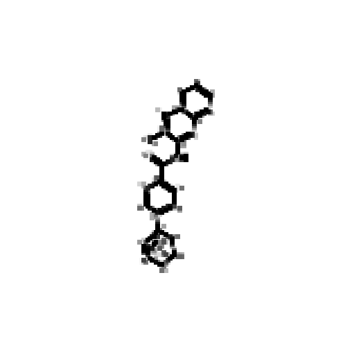 O=C(Nc1cc2ccccc2nc1Cl)c1ccc(C23CCC(CC2)CNC3)cc1